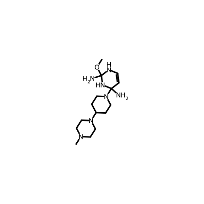 COC1(N)NC=CC(N)(N2CCC(N3CCN(C)CC3)CC2)N1